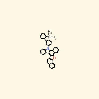 CC1(C)c2ccccc2-c2cc(-n3c4ccccc4c4c5c6ccc7ccccc7c6oc5c5ccccc5c43)ccc21